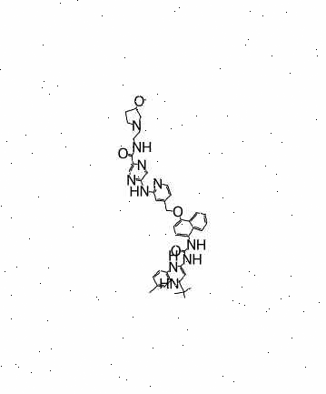 COC1CCN(CCNC(=O)c2cnc(Nc3cc(COc4ccc(NC(=O)N/C(=C/C(=N)C(C)(C)C)Nc5ccc(C)cc5)c5ccccc45)ccn3)cn2)C1